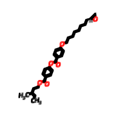 CCC(C)CCOC(=O)c1ccc(OC(=O)c2ccc(OCCCCCCCC[C@H]3CO3)cc2)cc1